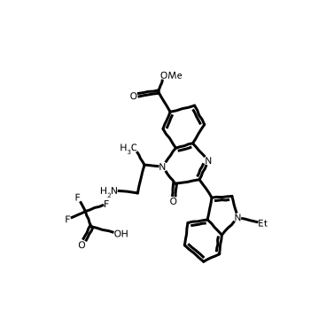 CCn1cc(-c2nc3ccc(C(=O)OC)cc3n(C(C)CN)c2=O)c2ccccc21.O=C(O)C(F)(F)F